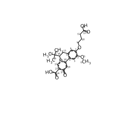 COc1cc2c(cc1OCCCC(=O)O)CC(C(C)(C)C)n1cc(C(=O)O)c(=O)cc1-2